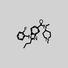 CCCc1nc2cc(C(=O)N(C)C3CCN(C)CC3)ccc2n1-c1ccccc1F